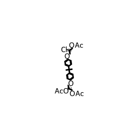 CC(=O)OC[C@H](Cl)COc1ccc(C(C)(C)c2ccc(OC[C@@H](COC(C)=O)OC(C)=O)cc2)cc1